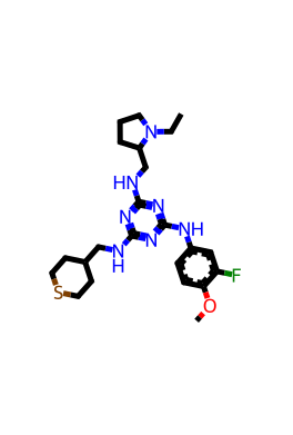 CCN1CCCC1CNc1nc(NCC2CCSCC2)nc(Nc2ccc(OC)c(F)c2)n1